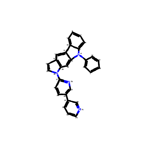 c1ccc(-n2c3ccccc3c3cc4ccn(-c5ccc(-c6cccnc6)cn5)c4cc32)cc1